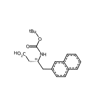 CC(C)(C)OC(=O)N[C@@H](CC(=O)O)Cc1ccc2ccccc2c1